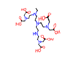 CCN(CCN(CCNCCN(CC(=O)O)CC(=O)O)CCN(CC(=O)O)CC(=O)O)CCN(CC(=O)O)CC(=O)O